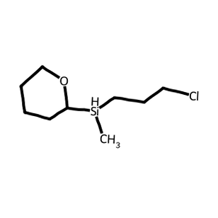 C[SiH](CCCCl)C1CCCCO1